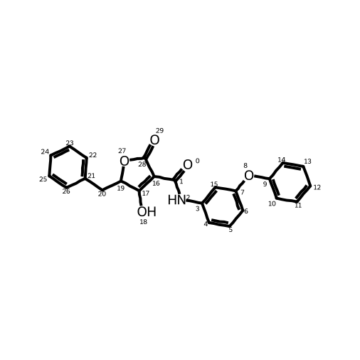 O=C(Nc1cccc(Oc2ccccc2)c1)C1=C(O)C(Cc2ccccc2)OC1=O